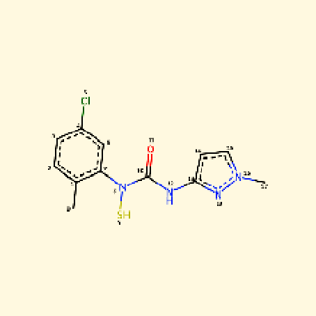 Cc1ccc(Cl)cc1N(S)C(=O)Nc1ccn(C)n1